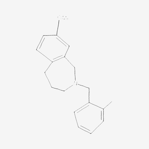 COc1ccc2c(c1)CN(Cc1ccccc1C)CCC2